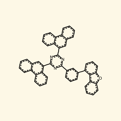 c1cc(-c2nc(-c3cc4ccccc4c4ccccc34)nc(-c3cc4ccccc4c4ccccc34)n2)cc(-c2cccc3oc4ccccc4c23)c1